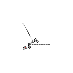 CCCCCCCCCCCCCCCCCC[N+](C)(CCC[N+](C)(CCCCCCCCCCCCCCCCCC)CN1CCCC1=O)CN1CCCC1=O.[Cl-].[Cl-]